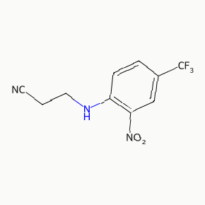 N#CCCNc1ccc(C(F)(F)F)cc1[N+](=O)[O-]